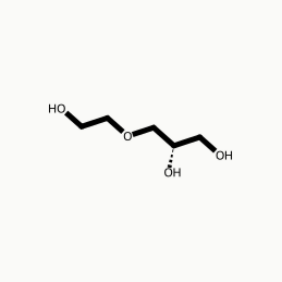 OCCOC[C@@H](O)CO